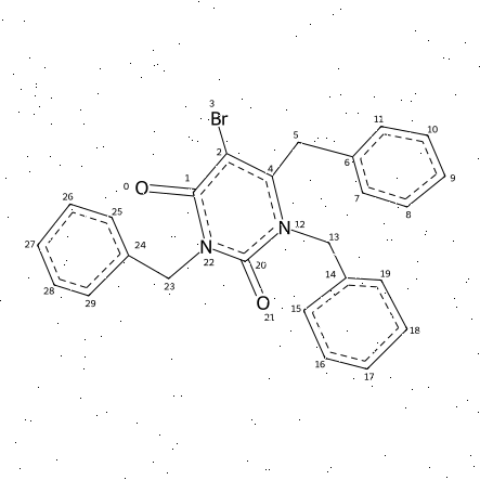 O=c1c(Br)c(Cc2ccccc2)n(Cc2ccccc2)c(=O)n1Cc1ccccc1